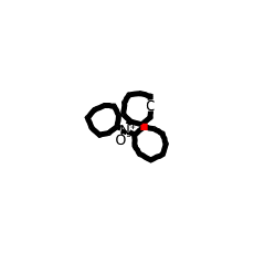 [O-][N+](C1CCCCCCCC1)(C1CCCCCCCC1)C1CCCCCCCC1